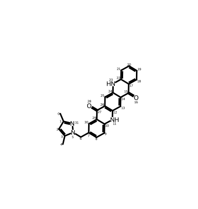 Cc1cc(C)n(Cc2ccc3[nH]c4cc5c(=O)c6ccccc6[nH]c5cc4c(=O)c3c2)n1